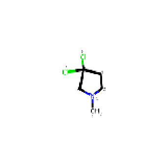 CN1CCC(Cl)(Cl)C1